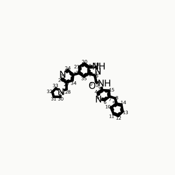 O=C(Nc1cncc(Cc2ccccc2)c1)c1n[nH]c2ccc(-c3cncc(CN4CCCC4)c3)cc12